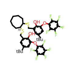 CC(C)(C)c1cc(CSC2CCCCCC[C@@H]2SCc2cc(C(C)(C)C)cc(Oc3c(F)c(F)c(F)c(F)c3F)c2O)c(O)c(Oc2c(F)c(F)c(F)c(F)c2F)c1